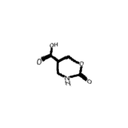 O=C1NCC(C(=O)O)CO1